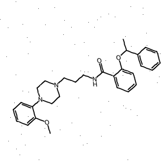 COc1ccccc1N1CCN(CCCNC(=O)c2ccccc2OC(C)c2ccccc2)CC1